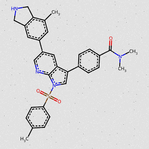 Cc1ccc(S(=O)(=O)n2cc(-c3ccc(C(=O)N(C)C)cc3)c3cc(-c4cc(C)c5c(c4)CNC5)cnc32)cc1